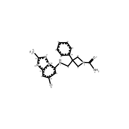 NC(=O)N1CC(CNc2cc(Cl)cc3nc(C(F)(F)F)nn23)(c2ccccc2)C1